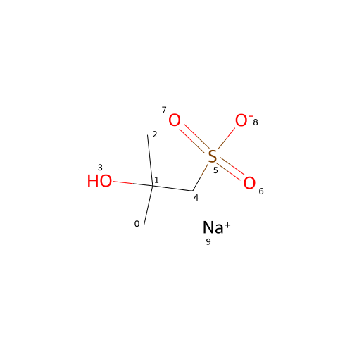 CC(C)(O)CS(=O)(=O)[O-].[Na+]